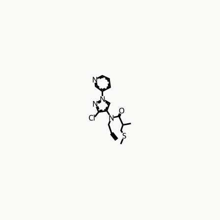 C#CCN(C(=O)C(C)CSC)c1cn(-c2cccnc2)nc1Cl